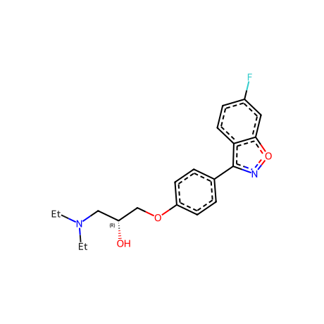 CCN(CC)C[C@@H](O)COc1ccc(-c2noc3cc(F)ccc23)cc1